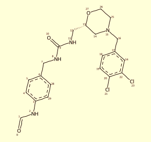 O=CNc1ccc(CNC(=O)NC[C@H]2CN(Cc3ccc(Cl)c(Cl)c3)CCO2)cc1